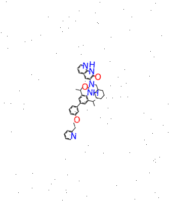 CC(C)c1cc(-c2cccc(OCCc3ccccn3)c2)cc(C(C)C)c1NC(=O)N(CC1CCCCC1)c1cc2cccnc2[nH]c1=O